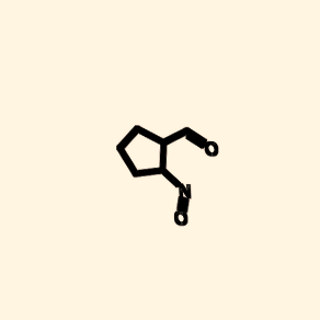 O=CC1CCCC1N=O